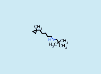 CC(C)(C)CNCCCCCC1(C)CC1